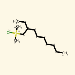 CCCCCCCC(CC)CS(C)(C)Cl